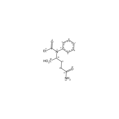 CCC(=O)N(c1ccccc1)C(CCC(N)=O)C(=O)O